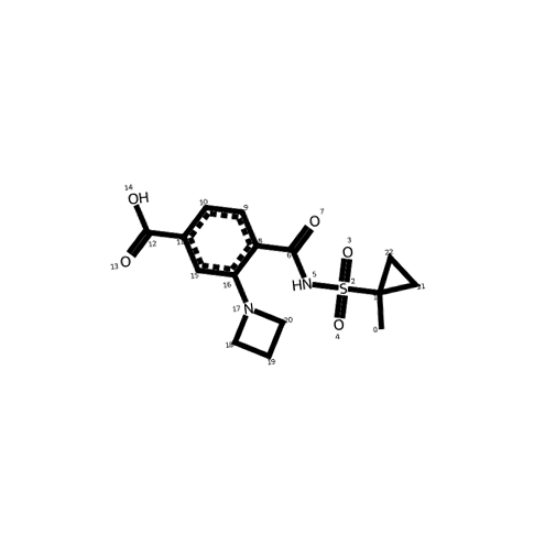 CC1(S(=O)(=O)NC(=O)c2ccc(C(=O)O)cc2N2CCC2)CC1